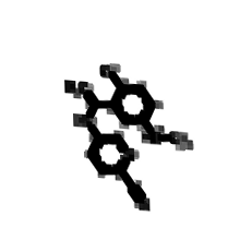 C=C(Nc1ccc(C#N)nc1)c1cc(NC)ccc1Cl